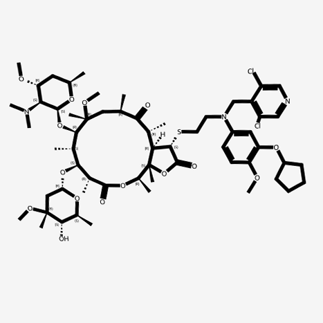 COc1ccc(N(CCS[C@@H]2C(=O)O[C@@]3(C)[C@H]2[C@@H](C)C(=O)[C@H](C)C[C@@](C)(OC)[C@H](O[C@@H]2O[C@H](C)C[C@@H](OC)[C@@H]2N(C)C)[C@@H](C)[C@H](O[C@H]2C[C@@](C)(OC)[C@@H](O)[C@H](C)O2)[C@@H](C)C(=O)O[C@@H]3C)Cc2c(Cl)cncc2Cl)cc1OC1CCCC1